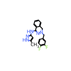 Cc1cc(NC2=NN(Cc3ccc(F)c(F)c3)Cc3ccccc32)n[nH]1